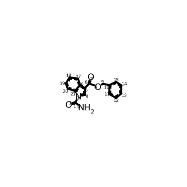 NC(=O)n1cc(C(=O)OCc2ccccc2)c2ccccc21